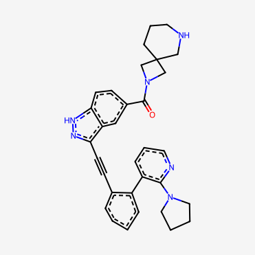 O=C(c1ccc2[nH]nc(C#Cc3ccccc3-c3cccnc3N3CCCC3)c2c1)N1CC2(CCCNC2)C1